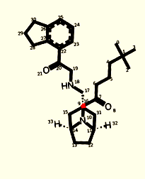 CC(C)(C)CCCC(=O)CN1[C@@H]2CC[C@H]1C[C@H](CNCC(=O)c1cccc3c1CCC3)C2